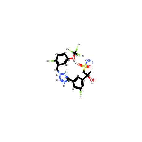 CC(O)(CS(N)(=O)=O)c1cc(F)cc(-c2nnn(Cc3cc(OC(F)(F)F)ccc3F)n2)c1